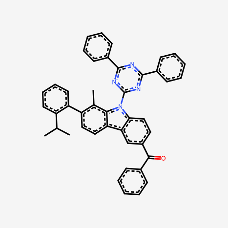 Cc1c(-c2ccccc2C(C)C)ccc2c3cc(C(=O)c4ccccc4)ccc3n(-c3nc(-c4ccccc4)nc(-c4ccccc4)n3)c12